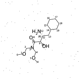 COCN(COC)C(=O)C(O)[C@H](N)CC1CCCCC1